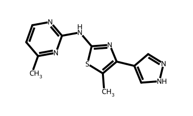 Cc1ccnc(Nc2nc(-c3cn[nH]c3)c(C)s2)n1